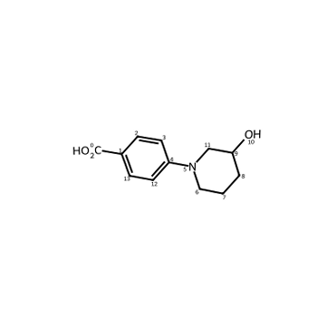 O=C(O)c1ccc(N2CCCC(O)C2)cc1